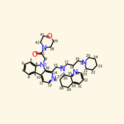 O=C(Cn1c2ccccc2c2ccnc(CN(CCCN3CCCCC3)[C@H]3CCCc4cccnc43)c21)N1CCOCC1